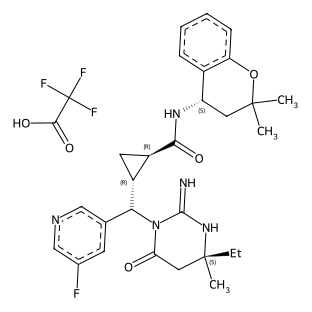 CC[C@@]1(C)CC(=O)N(C(c2cncc(F)c2)[C@@H]2C[C@H]2C(=O)N[C@H]2CC(C)(C)Oc3ccccc32)C(=N)N1.O=C(O)C(F)(F)F